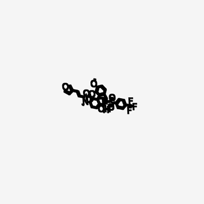 COc1ccc2c3c1O[C@H]1[C@H](N(C)C(=O)/C=C/c4ccoc4)CC[C@@]4(O)[C@@H](C2)N(S(=O)(=O)c2ccc(C(F)(F)F)cc2)CC[C@]314